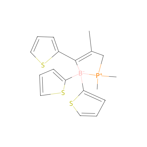 CC1=C(c2cccs2)[B-](c2cccs2)(c2cccs2)[P+](C)(C)C1